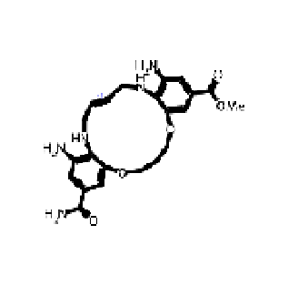 COC(=O)c1cc(N)c2c(c1)OCCCOc1cc(C(N)=O)cc(N)c1NC/C=C/CN2